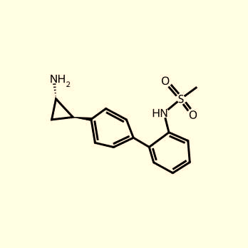 CS(=O)(=O)Nc1ccccc1-c1ccc([C@H]2C[C@@H]2N)cc1